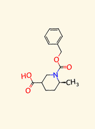 C[C@H]1CCC(C(=O)O)CN1C(=O)OCc1ccccc1